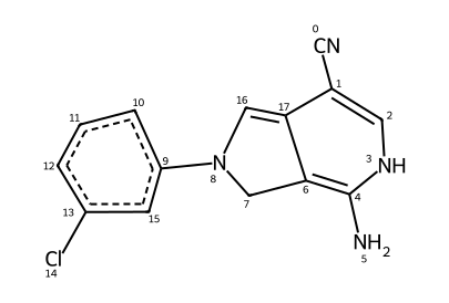 N#CC1=CNC(N)=C2CN(c3cccc(Cl)c3)C=C12